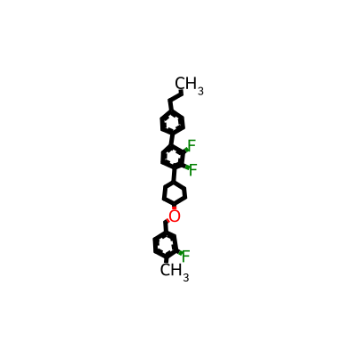 CCCc1ccc(-c2ccc(C3CCC(OCc4ccc(C)c(F)c4)CC3)c(F)c2F)cc1